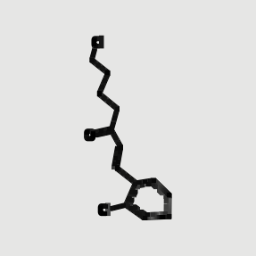 O=C(C=Cc1ccccc1Cl)CCCCCl